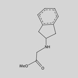 COC(=O)CNC1Cc2ccccc2C1